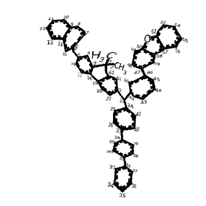 CC1(C)c2cc(-c3ccc4ccccc4c3)ccc2-c2ccc(C(c3ccc(-c4ccc(-c5ccccc5)cc4)cc3)c3cccc(-c4ccc5oc6ccccc6c5c4)c3)cc21